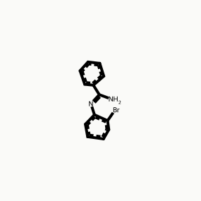 NC(=Nc1ccccc1Br)c1ccccc1